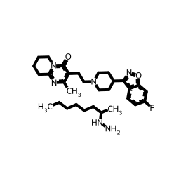 CCCCCCC(C)NN.Cc1nc2n(c(=O)c1CCN1CCC(c3noc4cc(F)ccc34)CC1)CCCC2